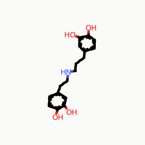 Oc1ccc(CCCNCCc2ccc(O)c(O)c2)cc1O